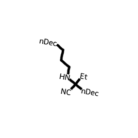 CCCCCCCCCCCCCNC(C#N)(CC)CCCCCCCCCC